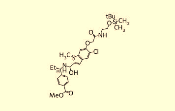 CC[C@@H](NC(O)c1cc2cc(Cl)c(OCC(=O)NCCO[Si](C)(C)C(C)(C)C)cc2n1C)c1ccc(C(=O)OC)cc1